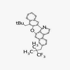 CC(C)(C)Cc1c2c(cc3ccccc13)-c1nccc3c1c(cc1cc(CC(C)(C)C(F)(F)F)ccc13)O2